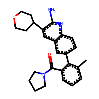 Cc1cccc(C(=O)N2CCCC2)c1-c1ccc2nc(N)c(C3CCOCC3)cc2c1